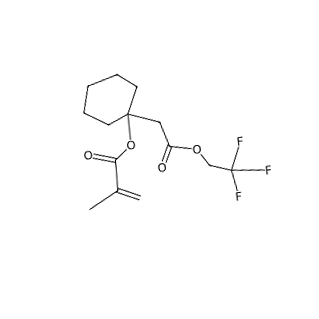 C=C(C)C(=O)OC1(CC(=O)OCC(F)(F)F)CCCCC1